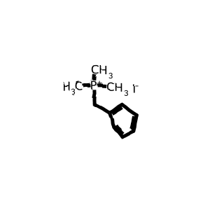 C[P+](C)(C)Cc1ccccc1.[I-]